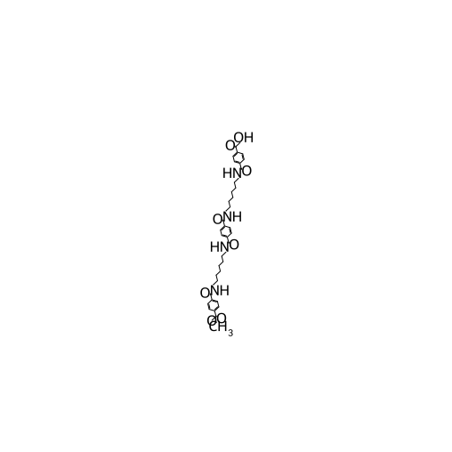 COC(=O)c1ccc(C(=O)NCCCCCCCCNC(=O)c2ccc(C(=O)NCCCCCCCCNC(=O)c3ccc(C(=O)CO)cc3)cc2)cc1